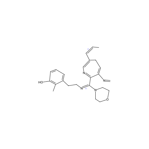 C=NC1=CCC(/C=C\C)=CN=C1/C(=N\CCc1cccc(O)c1C)N1CCOCC1